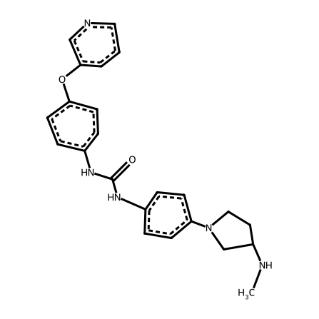 CNC1CCN(c2ccc(NC(=O)Nc3ccc(Oc4cccnc4)cc3)cc2)C1